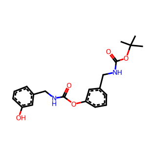 CC(C)(C)OC(=O)NCc1cccc(OC(=O)NCc2cccc(O)c2)c1